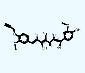 [2H]/C(C(=O)/C([2H])=C(\[2H])c1ccc(O)c(OC)c1)=C(O)\C([2H])=C\c1ccc(OCC#C)c(OC)c1